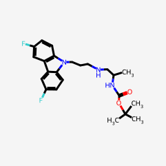 CC(CNCCCn1c2ccc(F)cc2c2cc(F)ccc21)NC(=O)OC(C)(C)C